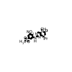 CC(C)N1CC(=O)N(C)c2cnc(Nc3cc([N+](=O)[O-])cc(S(C)(=O)=O)c3)nc21